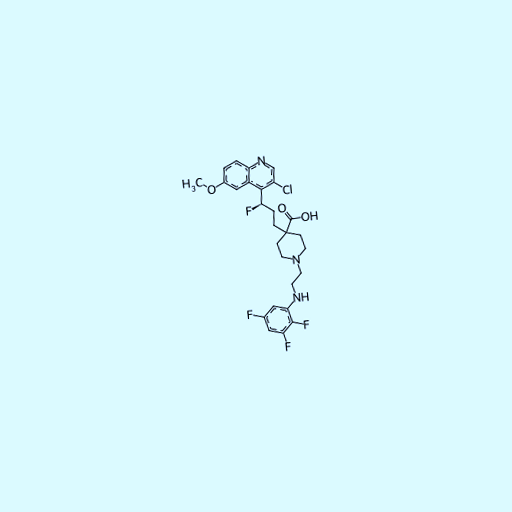 COc1ccc2ncc(Cl)c([C@H](F)CCC3(C(=O)O)CCN(CCNc4cc(F)cc(F)c4F)CC3)c2c1